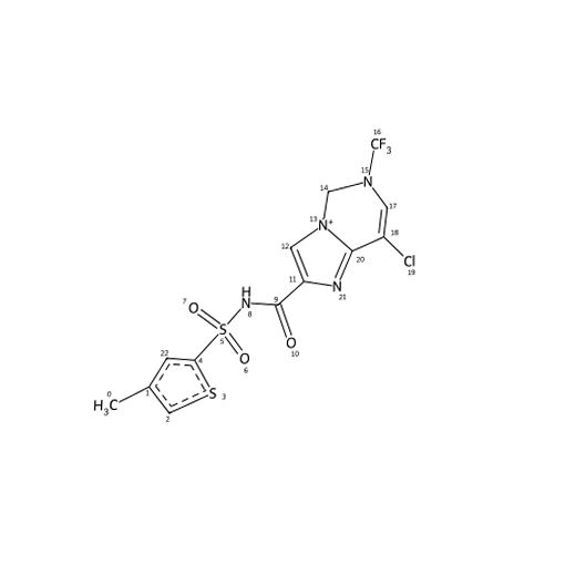 Cc1csc(S(=O)(=O)NC(=O)C2=C[N+]3CN(C(F)(F)F)C=C(Cl)C3=N2)c1